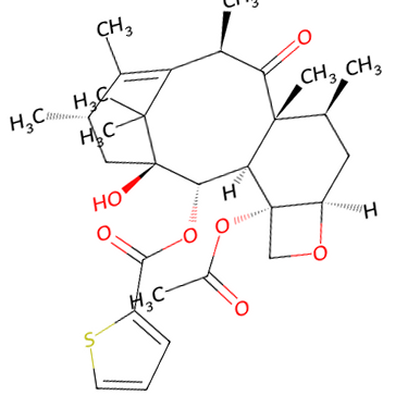 CC(=O)O[C@@]12CO[C@@H]1C[C@H](C)[C@@]1(C)C(=O)[C@H](C)C3=C(C)[C@@H](C)C[C@@](O)([C@@H](OC(=O)c4cccs4)[C@H]21)C3(C)C